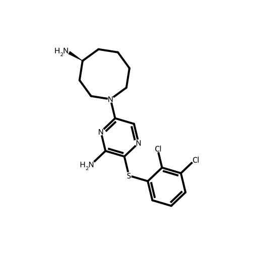 Nc1nc(N2CCCC[C@H](N)CC2)cnc1Sc1cccc(Cl)c1Cl